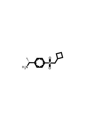 C[C@@H](N)c1ccc(S(=O)(=O)CC2CCC2)cc1